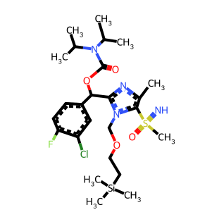 Cc1nc(C(OC(=O)N(C(C)C)C(C)C)c2ccc(F)c(Cl)c2)n(COCC[Si](C)(C)C)c1S(C)(=N)=O